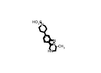 C[C@@H]1CNCc2c3ccc(C4CCN(C(=O)O)CC4)cc3nn21